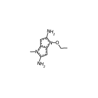 CCOn1c(N)cc2c1cc(N)n2C